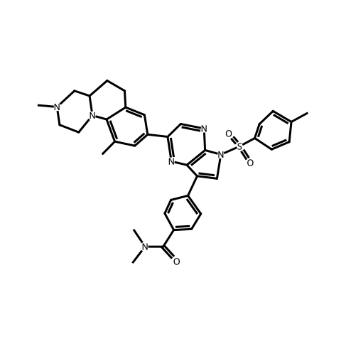 Cc1ccc(S(=O)(=O)n2cc(-c3ccc(C(=O)N(C)C)cc3)c3nc(-c4cc(C)c5c(c4)CCC4CN(C)CCN54)cnc32)cc1